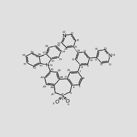 O=S1(=O)Cc2ccc(-c3cc(-c4ccncc4)cc(-c4ccncc4)c3)cc2-c2cc(-n3c4ccccc4c4ccccc43)ccc2C1